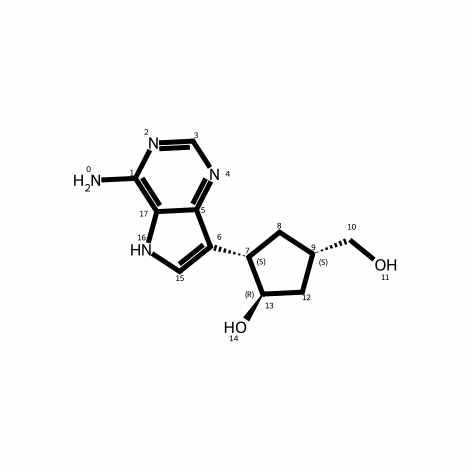 Nc1ncnc2c([C@@H]3C[C@H](CO)C[C@H]3O)c[nH]c12